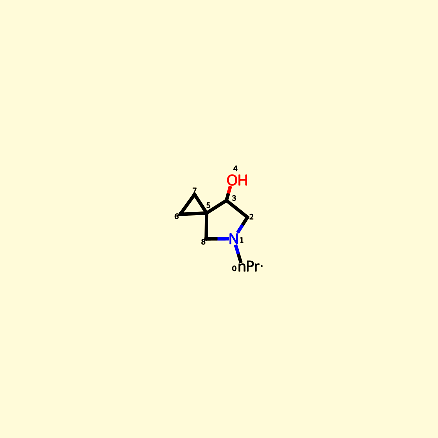 CC[CH]N1CC(O)C2(CC2)C1